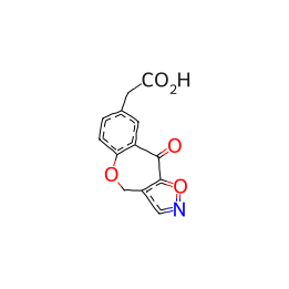 O=C(O)Cc1ccc2c(c1)C(=O)c1oncc1CO2